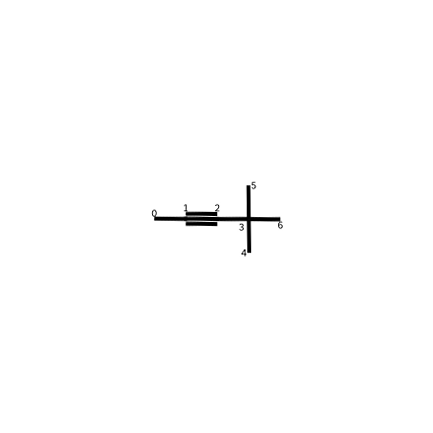 CC#CC(C)(C)C